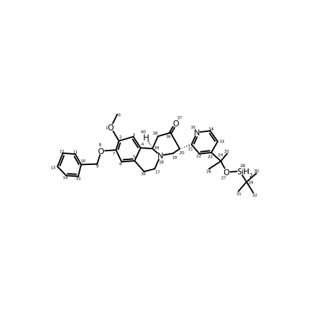 COc1cc2c(cc1OCc1ccccc1)CCN1C[C@@H](c3cc(C(C)(C)O[SiH2]C(C)(C)C)ccn3)C(=O)C[C@H]21